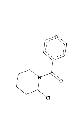 O=C(c1ccncc1)N1CCCCC1Cl